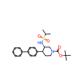 CC(C)S(=O)(=O)NC1CN(C(=O)OC(C)(C)C)CCC1c1ccc(-c2ccccc2)cc1